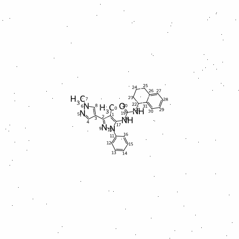 Cc1c(-c2cnn(C)c2)nn(-c2ccccc2)c1NC(=O)NC1CCCc2ccccc21